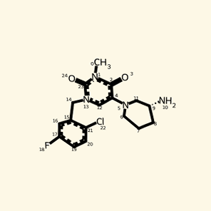 Cn1c(=O)c(N2CCC[C@@H](N)C2)cn(Cc2cc(F)ccc2Cl)c1=O